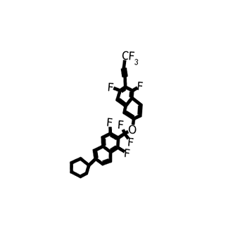 Fc1cc2cc(OC(F)(F)c3c(F)cc4cc(C5CCCCC5)ccc4c3F)ccc2c(F)c1C#CC(F)(F)F